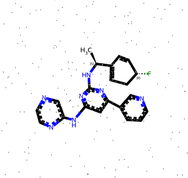 C[C@H](Nc1nc(Nc2cnccn2)cc(-c2cccnc2)n1)C1=CC[C@@H](F)C=C1